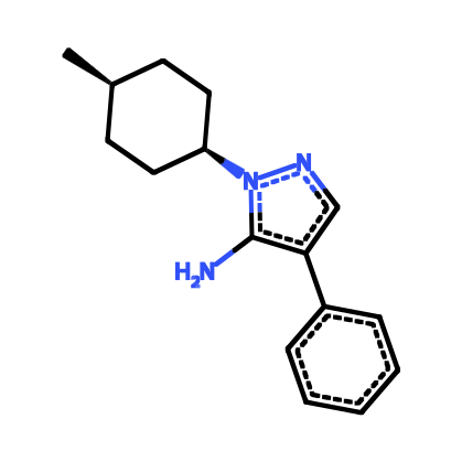 C[C@H]1CC[C@@H](n2ncc(-c3ccccc3)c2N)CC1